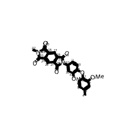 COc1cc(C)ccc1Oc1ccc(-n2c(=O)c3cc4c(=O)n(C)c(=O)c4cc3c2=O)cc1OC